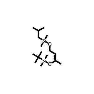 CC(=CCO[Si](C)(C)CC(C)C)O[Si](C)(C)C(C)(C)C